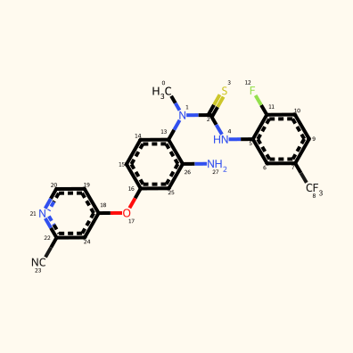 CN(C(=S)Nc1cc(C(F)(F)F)ccc1F)c1ccc(Oc2ccnc(C#N)c2)cc1N